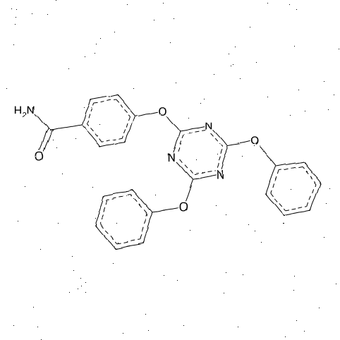 NC(=O)c1ccc(Oc2nc(Oc3ccccc3)nc(Oc3ccccc3)n2)cc1